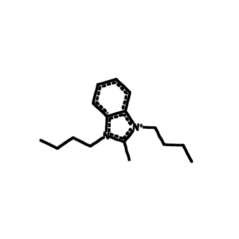 CCCCn1c(C)[n+](CCCC)c2ccccc21